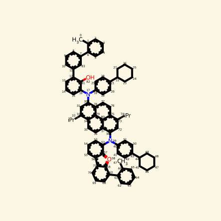 Cc1ccccc1-c1cccc(-c2cccc(N(c3ccc(C4CCCCC4)cc3)c3cc(C(C)C)c4ccc5c(N(c6ccc(C7CCCCC7)cc6)c6cccc7c6oc6c(-c8ccccc8C)cccc67)cc(C(C)C)c6ccc3c4c65)c2O)c1